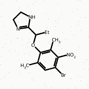 CCC(Oc1c(C)cc(Br)c([N+](=O)[O-])c1C)C1=NCCN1